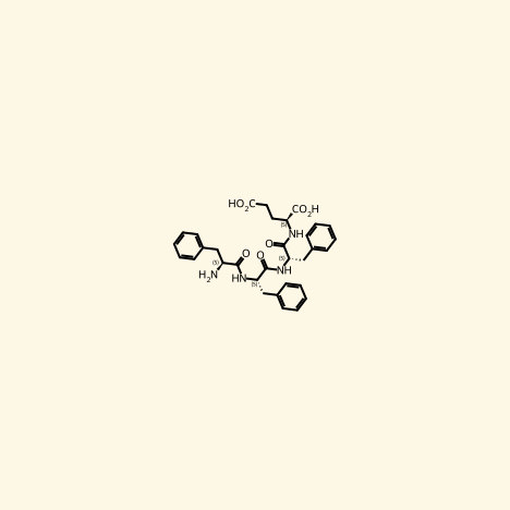 N[C@@H](Cc1ccccc1)C(=O)N[C@@H](Cc1ccccc1)C(=O)N[C@@H](Cc1ccccc1)C(=O)N[C@@H](CCC(=O)O)C(=O)O